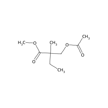 CCC(C)(COC(C)=O)C(=O)OC